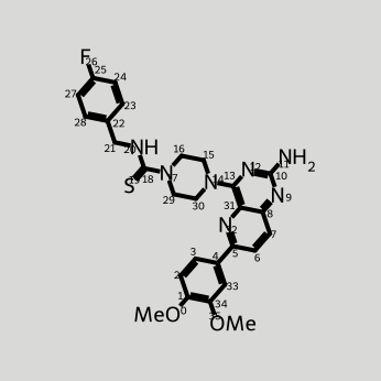 COc1ccc(-c2ccc3nc(N)nc(N4CCN(C(=S)NCc5ccc(F)cc5)CC4)c3n2)cc1OC